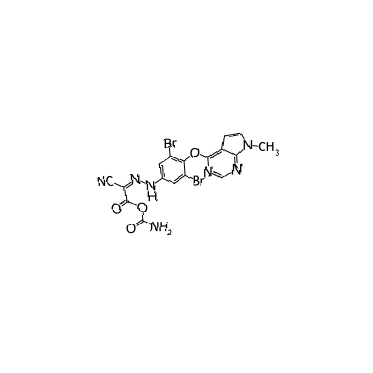 Cn1ccc2c(Oc3c(Br)cc(NN=C(C#N)C(=O)OC(N)=O)cc3Br)ncnc21